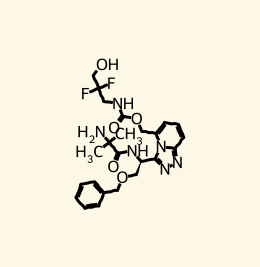 CC(C)(N)C(=O)N[C@H](COCc1ccccc1)c1nnc2cccc(COC(=O)NCC(F)(F)CO)n12